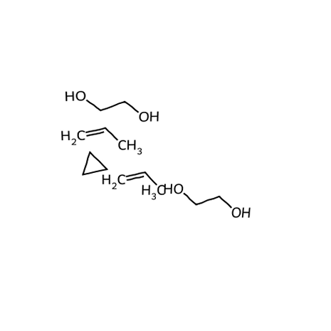 C1CC1.C=CC.C=CC.OCCO.OCCO